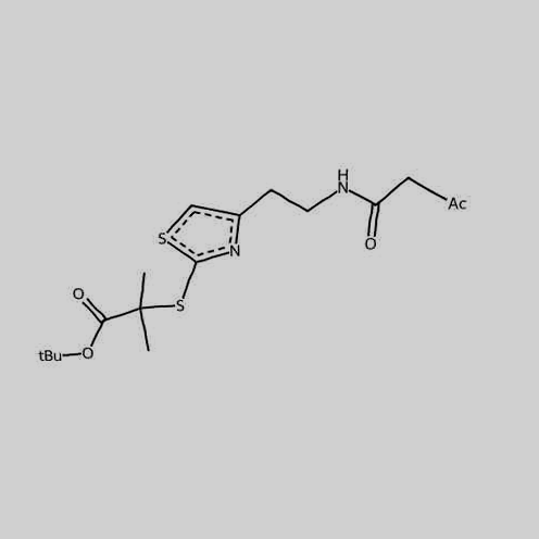 CC(=O)CC(=O)NCCc1csc(SC(C)(C)C(=O)OC(C)(C)C)n1